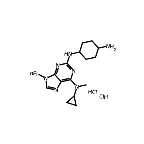 CCCn1cnc2c(N(C)C3CC3)nc(NC3CCC(N)CC3)nc21.Cl.Cl